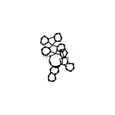 C=C1/C=C\C#CCc2ccccc2C12c1ccccc1C1(c3ccccc3-c3ccccc31)c1cccc(-c3nc(-c4ccc5ccccc5c4)c4ccccc4n3)c12